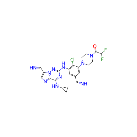 N=Cc1cc(Nc2nc(NC3CC3)c3ncc(C=N)n3n2)c(Cl)c(N2CCN(C(=O)C(F)F)CC2)c1